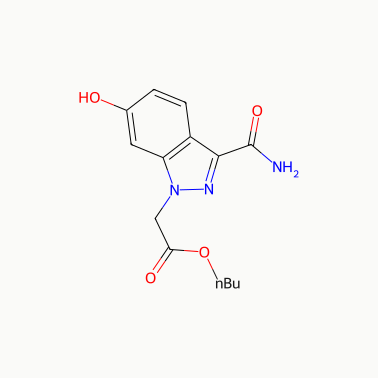 CCCCOC(=O)Cn1nc(C(N)=O)c2ccc(O)cc21